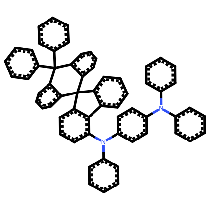 c1ccc(N(c2ccccc2)c2ccc(N(c3ccccc3)c3cccc4c3-c3ccccc3C43c4ccccc4C(c4ccccc4)(c4ccccc4)c4ccccc43)cc2)cc1